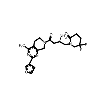 N[C@H](CC(=O)N1CCc2c(nc(-c3ccoc3)nc2C(F)(F)F)C1)CN1CC(F)(F)CCC1=O